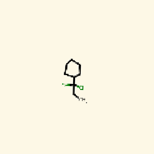 [CH2]CC(Cl)(Cl)C1CCCCC1